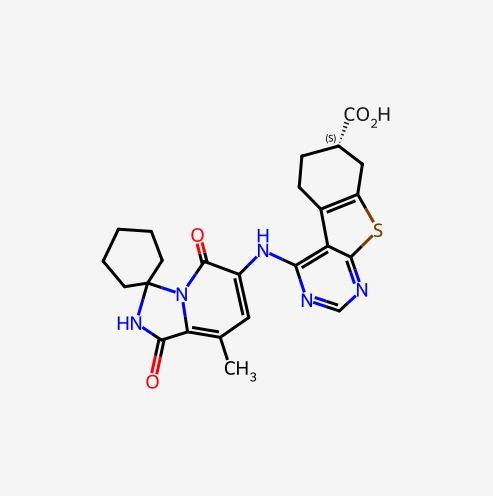 Cc1cc(Nc2ncnc3sc4c(c23)CC[C@H](C(=O)O)C4)c(=O)n2c1C(=O)NC21CCCCC1